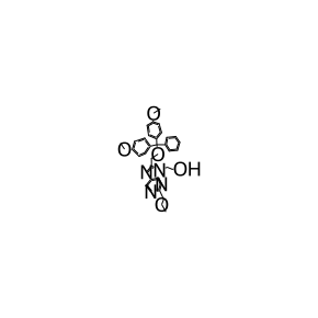 COCc1ncc2nc(COC(c3ccccc3)(c3ccc(OC)cc3)c3ccc(OC)cc3)n(CCO)c2n1